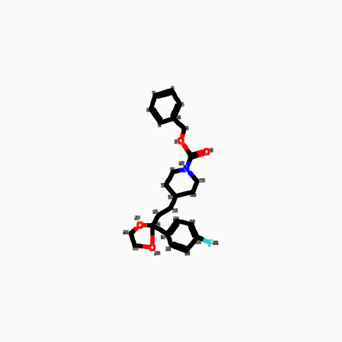 O=C(OCc1ccccc1)N1CCC(CCC2(c3ccc(F)cc3)OCCO2)CC1